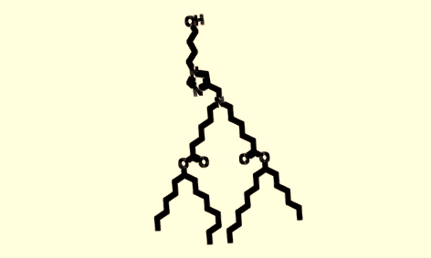 CCCCCCCCC(CCCCCC)OC(=O)CCCCCN(CCCCCC(=O)OC(CCCCCC)CCCCCCCC)Cc1cn(CCCCO)cn1